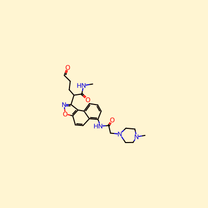 CNC(=O)C(CCC=O)c1noc2ccc3c(NC(=O)CN4CCN(C)CC4)cccc3c12